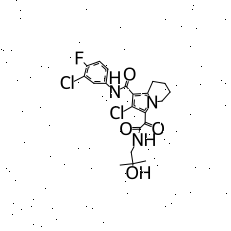 CC(C)(O)CNC(=O)C(=O)c1c(Cl)c(C(=O)Nc2ccc(F)c(Cl)c2)c2n1CCCC2